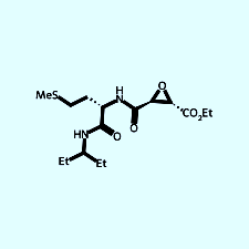 CCOC(=O)[C@H]1O[C@@H]1C(=O)N[C@@H](CCSC)C(=O)NC(CC)CC